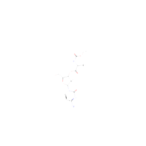 CC(C)C(NC(=O)OC(C)(C)C)C(=O)OC1C(CO)OC(n2ccc(N)nc2=O)C1(C)O